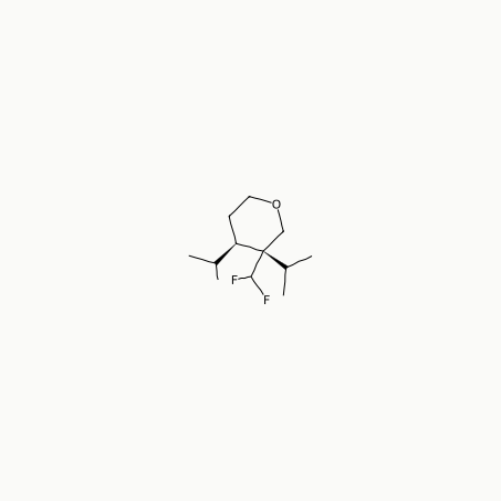 CC(C)[C@H]1CCOC[C@]1(C(C)C)C(F)F